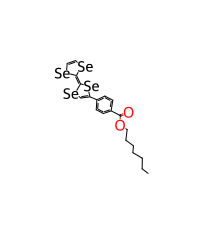 CCCCCCCOC(=O)c1ccc(C2=C[Se]C(=C3[Se]C=C[Se]3)[Se]2)cc1